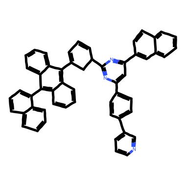 C1=CC(c2nc(-c3ccc(-c4cccnc4)cc3)cc(-c3ccc4ccccc4c3)n2)CC(c2c3ccccc3c(-c3cccc4ccccc34)c3ccccc23)=C1